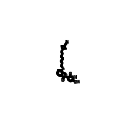 N#CC1CN(CCCCCCCSc2cccc3c2CN(C2CCC(O)NC2=O)C3=O)C1